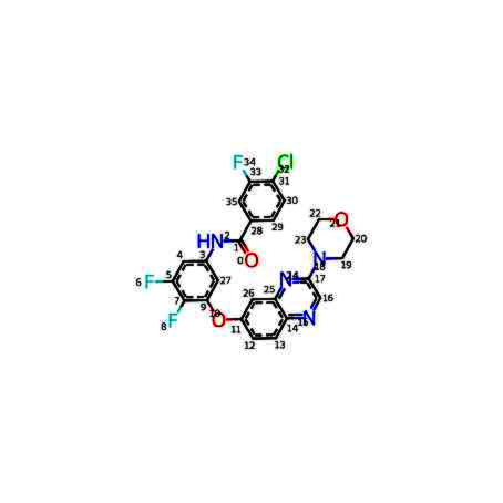 O=C(Nc1cc(F)c(F)c(Oc2ccc3ncc(N4CCOCC4)nc3c2)c1)c1ccc(Cl)c(F)c1